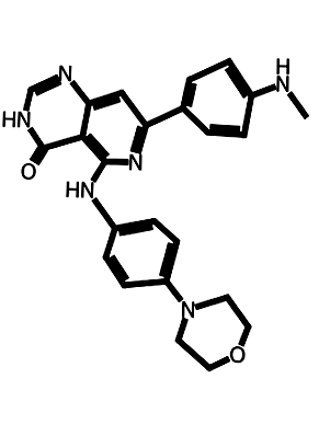 CNc1ccc(-c2cc3nc[nH]c(=O)c3c(Nc3ccc(N4CCOCC4)cc3)n2)cc1